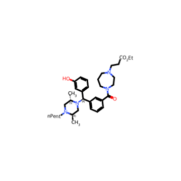 CCCCCN1C[C@H](C)N([C@@H](c2cccc(O)c2)c2cccc(C(=O)N3CCCN(CCC(=O)OCC)CC3)c2)C[C@H]1C